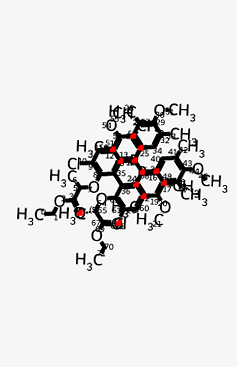 CCOC(=O)C(C)Oc1c(Cl)ccc(P(c2cc(C)c(OC)c(C)c2)c2cc(C)c(OC)c(C)c2)c1-c1c(P(c2cc(C)c(OC)c(C)c2)c2cc(C)c(OC)c(C)c2)ccc(Cl)c1O[C@@H](C)C(=O)OCC